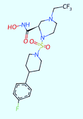 O=C(NO)[C@H]1CN(CC(F)(F)F)CCN1S(=O)(=O)N1CCC(c2ccc(F)cc2)CC1